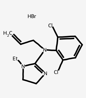 Br.C=CCN(C1=NCCN1CC)c1c(Cl)cccc1Cl